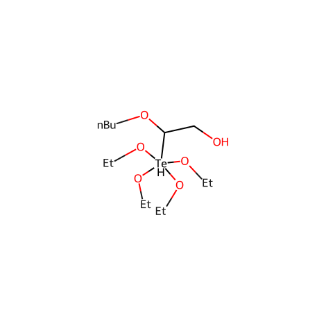 CCCCOC(CO)[TeH](OCC)(OCC)(OCC)OCC